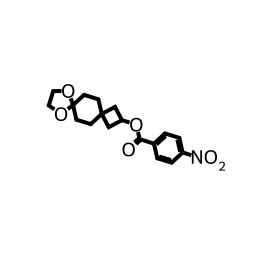 O=C(OC1CC2(CCC3(CC2)OCCO3)C1)c1ccc([N+](=O)[O-])cc1